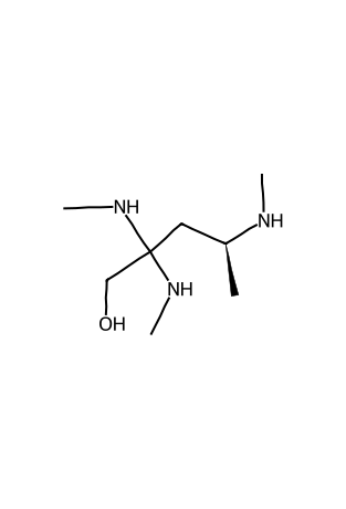 CN[C@@H](C)CC(CO)(NC)NC